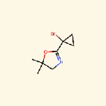 CC1(C)CN=C(C2(Br)CC2)O1